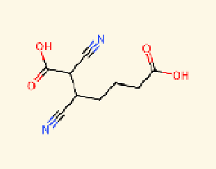 N#CC(CCCC(=O)O)C(C#N)C(=O)O